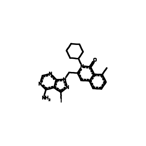 Cc1cccc2cc(Cn3nc(I)c4c(N)ncnc43)n(C3CCCCC3)c(=O)c12